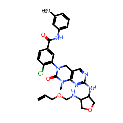 C=CCOCNC1COCC1Nc1ncc2c(n1)N(C)C(=O)N(c1cc(C(=O)Nc3cccc(C(C)(C)C)c3)ccc1Cl)C2